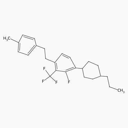 CCCC1CCC(c2ccc(CCc3ccc(C)cc3)c(C(F)(F)F)c2F)CC1